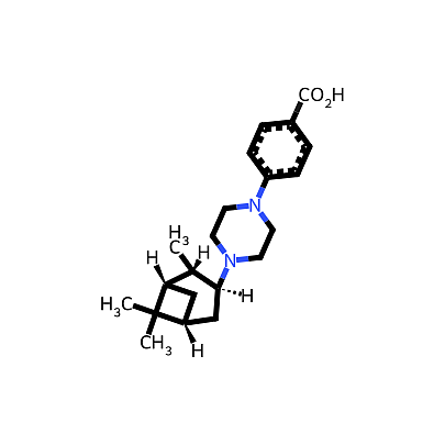 C[C@@H]1[C@@H](N2CCN(c3ccc(C(=O)O)cc3)CC2)C[C@H]2C[C@@H]1C2(C)C